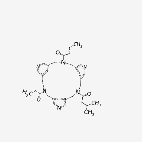 CCCC(=O)N1Cc2cncc(c2)CN(C(=O)CC)Cc2cncc(c2)CN(C(=O)CC(C)C)Cc2cncc(c2)C1